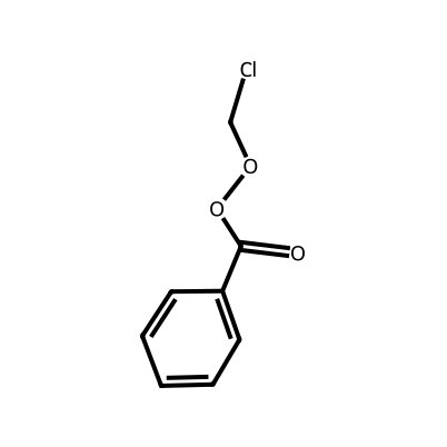 O=C(OOCCl)c1ccccc1